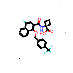 O=C(NC1(C(=O)O)CCC1)c1cc(F)c2ccccc2c1OCc1ccc(C(F)(F)F)cc1